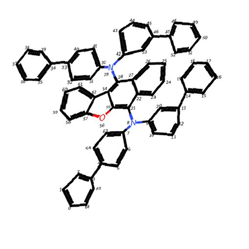 c1ccc(-c2ccc(N(c3cccc(-c4ccccc4)c3)c3c4ccccc4c(N(c4ccc(-c5ccccc5)cc4)c4cccc(-c5ccccc5)c4)c4c3oc3ccccc34)cc2)cc1